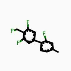 Cc1ccc(-c2cc(F)c(CF)c(F)c2)c(F)c1